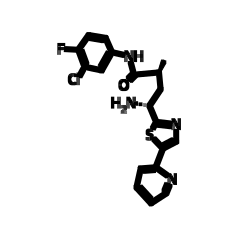 C[C@@H](C[C@@H](N)c1ncc(-c2ccccn2)s1)C(=O)Nc1ccc(F)c(Cl)c1